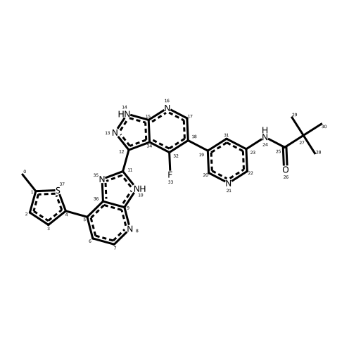 Cc1ccc(-c2ccnc3[nH]c(-c4n[nH]c5ncc(-c6cncc(NC(=O)C(C)(C)C)c6)c(F)c45)nc23)s1